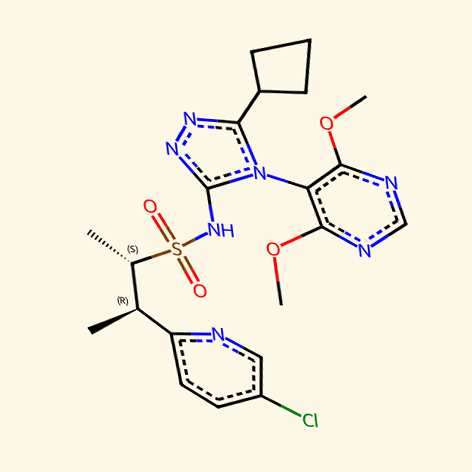 COc1ncnc(OC)c1-n1c(NS(=O)(=O)[C@@H](C)[C@H](C)c2ccc(Cl)cn2)nnc1C1CCC1